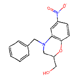 O=[N+]([O-])c1ccc2c(c1)N(Cc1ccccc1)CC(CO)O2